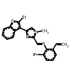 C=Cc1cccc(C(C)C)c1/N=C/c1nc(-c2c(CC)oc3ccccc23)cn1C